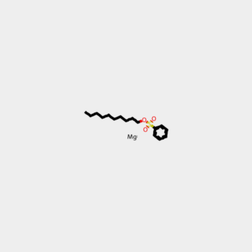 CCCCCCCCCCOS(=O)(=O)c1ccccc1.[Mg]